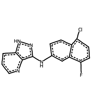 Fc1ccc(Cl)c2ccc(Nc3n[nH]c4cccnc34)cc12